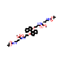 COC(=O)[C@@H](CCCCNC(=O)OC(C)(C)C)NC(=O)CCCOc1ccc2ccccc2c1-c1c(OCCCC(=O)N[C@H](CCCCNC(=O)OC(C)(C)C)C(=O)OC)ccc2ccccc12